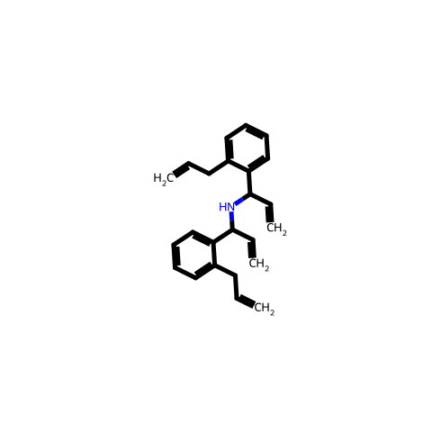 C=CCc1ccccc1C(C=C)NC(C=C)c1ccccc1CC=C